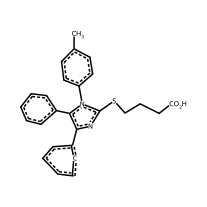 Cc1ccc(-n2c(SCCCC(=O)O)nc(-c3ccccc3)c2-c2ccccc2)cc1